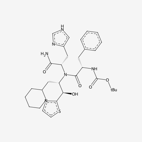 CC(C)(C)OC(=O)N[C@@H](Cc1ccccc1)C(=O)N([C@@H](Cc1c[nH]cn1)C(N)=O)[C@@H](CC1CCCCC1)[C@@H](O)c1nccs1